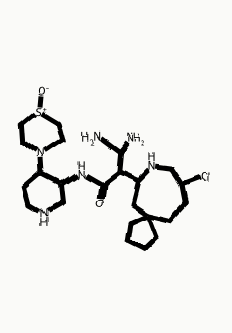 NC(N)C(C(=O)NC1CNCCC1N1CC[S+]([O-])CC1)C1CC2(CCCC2)CCC(Cl)CN1